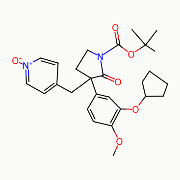 COc1ccc(C2(Cc3cc[n+]([O-])cc3)CCN(C(=O)OC(C)(C)C)C2=O)cc1OC1CCCC1